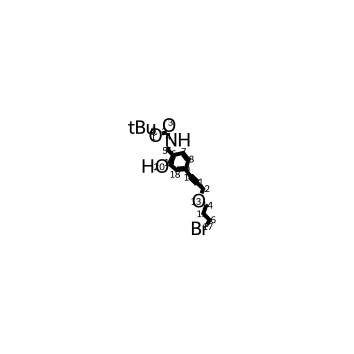 CC(C)(C)OC(=O)NCc1ccc(C#CCOCCCBr)cc1O